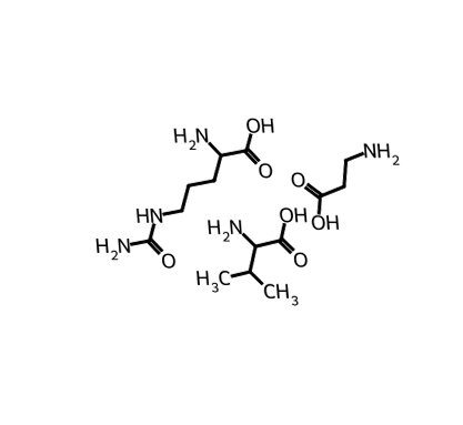 CC(C)C(N)C(=O)O.NC(=O)NCCCC(N)C(=O)O.NCCC(=O)O